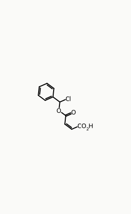 O=C(O)/C=C\C(=O)OC(Cl)c1ccccc1